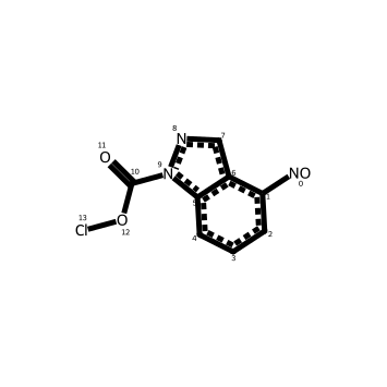 O=Nc1cccc2c1cnn2C(=O)OCl